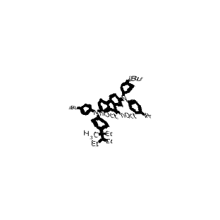 CCCCCCCCC1(CCCCCCCC)c2cc(N(c3ccc(C(C)C)cc3)c3ccc(C(C)CC)cc3)ccc2-c2ccc(N(c3ccc(C(C)CC)cc3)c3ccc(C(C)(CC)C(CC)CC)cc3)cc21